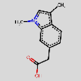 Cc1cn(C)c2cc(CC(=O)O)ccc12